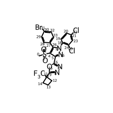 CS(=O)(=O)c1c(-c2nnc(C3(C(F)(F)F)CCC3)o2)nn(-c2ccc(Cl)cc2Cl)c1-c1ccc(Br)cc1